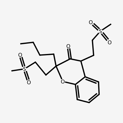 CCCCC1(CCS(C)(=O)=O)Oc2ccccc2C(CCS(C)(=O)=O)C1=O